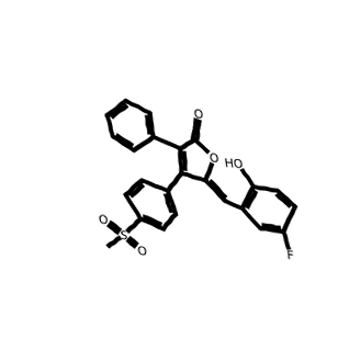 CS(=O)(=O)c1ccc(C2=C(c3ccccc3)C(=O)O/C2=C\c2cc(F)ccc2O)cc1